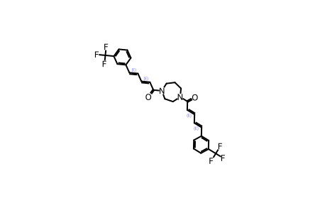 O=C(/C=C/C=C/c1cccc(C(F)(F)F)c1)N1CCCN(C(=O)/C=C/C=C/c2cccc(C(F)(F)F)c2)CC1